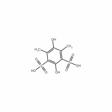 Cc1c(O)c(C)c(S(=O)(=O)O)c(O)c1S(=O)(=O)O